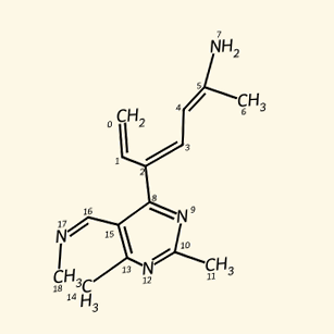 C=C/C(=C\C=C(/C)N)c1nc(C)nc(C)c1/C=N\C